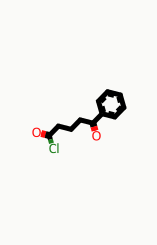 O=C(Cl)CCCC(=O)c1ccccc1